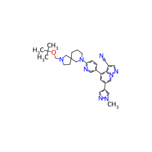 Cn1cc(-c2cc(-c3ccc(N4CCCC5(CCN(COC(C)(C)C)C5)C4)nc3)c3c(C#N)cnn3c2)cn1